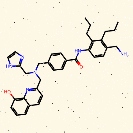 CCCc1c(CN)ccc(NC(=O)c2ccc(CN(Cc3ccc4cccc(O)c4n3)Cc3ncc[nH]3)cc2)c1CCC